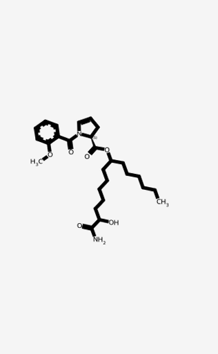 CCCCCCC(CCCCCC(O)C(N)=O)OC(=O)[C@@H]1CC=CN1C(=O)c1ccccc1OC